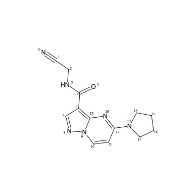 N#CCNC(=O)c1cnn2ccc(N3CCCC3)nc12